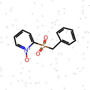 O=S(=O)(Cc1ccccc1)c1cccc[n+]1[O-]